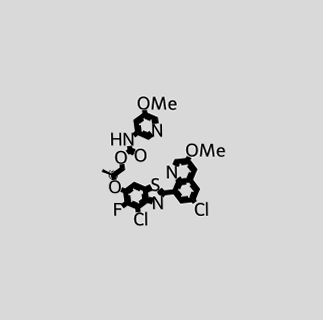 COc1cncc(NC(=O)OC[C@H](C)Oc2cc3sc(-c4cc(Cl)cc5cc(OC)cnc45)nc3c(Cl)c2F)c1